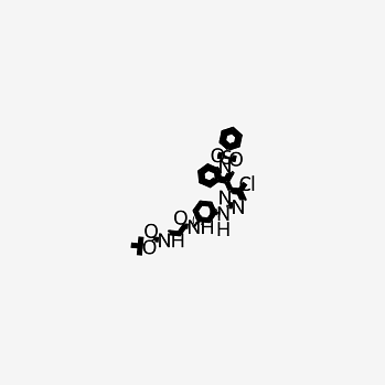 CC(C)(C)OC(=O)NCCC(=O)N[C@H]1CCC[C@@H](Nc2ncc(Cl)c(-c3cn(S(=O)(=O)c4ccccc4)c4ccccc34)n2)C1